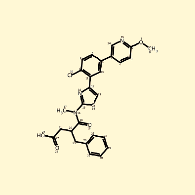 COc1ccc(-c2ccc(Cl)c(-c3csc(N(C)C(=O)C(CC(=O)O)Cc4ccccc4)n3)c2)cn1